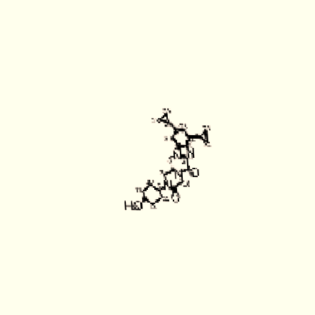 Cn1c(C(=O)N2CCN(C3CCC(O)CC3)C(=O)C2)nc2c(C3CC3)cc(C3CC3)cc21